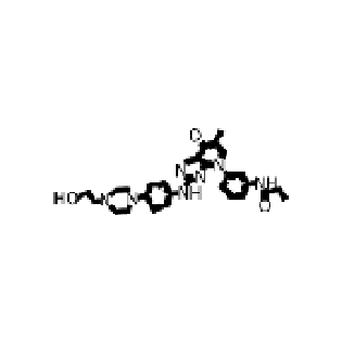 C=CC(=O)Nc1cccc(-n2cc(C)c(=O)c3cnc(Nc4ccc(N5CCN(CCO)CC5)cc4)nc32)c1